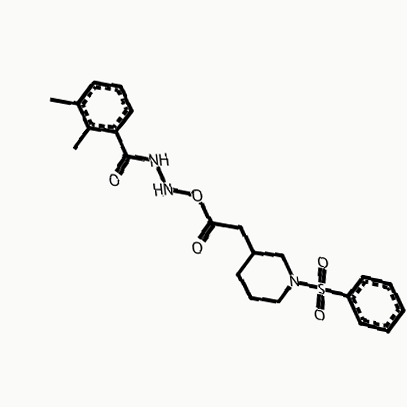 Cc1cccc(C(=O)NNOC(=O)CC2CCCN(S(=O)(=O)c3ccccc3)C2)c1C